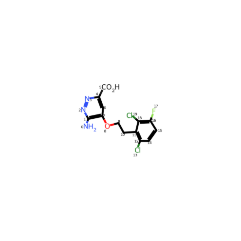 Nc1nnc(C(=O)O)cc1OCCc1c(Cl)ccc(F)c1Cl